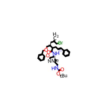 C=C(CBr)C[C@H](COCc1ccccc1)C(C/C=C/c1ccccc1)C(=O)N[C@H](CCCNC(=O)OC(C)(C)C)C(=O)NC